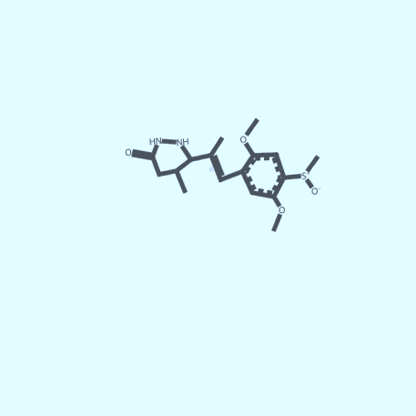 COc1cc([S+](C)[O-])c(OC)cc1/C=C(\C)C1NNC(=O)CC1C